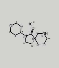 Cl.O=C1N(C2CCOCC2)CC[C@]12CCCNC2